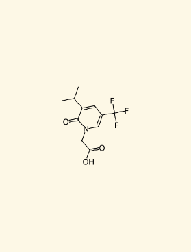 CC(C)c1cc(C(F)(F)F)cn(CC(=O)O)c1=O